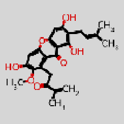 C=C(C)C(=O)Cc1c(OC)c(O)cc2oc3cc(O)c(CC=C(C)C)c(O)c3c(=O)c12